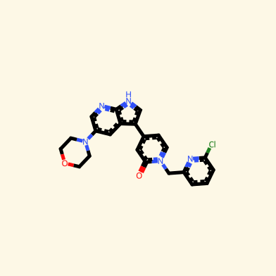 O=c1cc(-c2c[nH]c3ncc(N4CCOCC4)cc23)ccn1Cc1cccc(Cl)n1